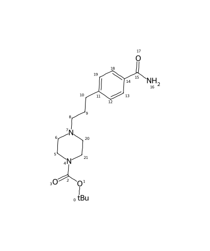 CC(C)(C)OC(=O)N1CCN(CCCc2ccc(C(N)=O)cc2)CC1